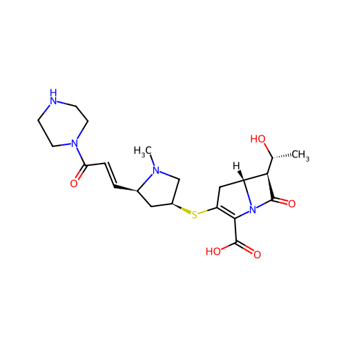 C[C@@H](O)[C@H]1C(=O)N2C(C(=O)O)=C(S[C@H]3C[C@@H](/C=C/C(=O)N4CCNCC4)N(C)C3)C[C@H]12